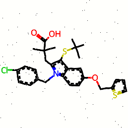 CC(C)(C)Sc1c(CC(C)(C)C(=O)O)n(Cc2ccc(Cl)cc2)c2ccc(OCc3cccs3)cc12